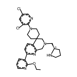 CCOc1ncccc1-c1ccc2c(n1)CN(C[C@H]1CCCN1)CC21CCN(c2ncc(Cl)cc2Cl)CC1